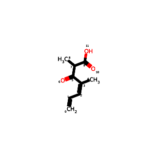 C=CC=C(C)C(=O)C(C)C(=O)O